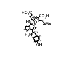 CSCC[C@H](NC(=O)[C@H](CCC(=O)O)NC(=O)[C@@H]1CCCN1C(=O)[C@@H](N)Cc1ccc(O)cc1)C(=O)O